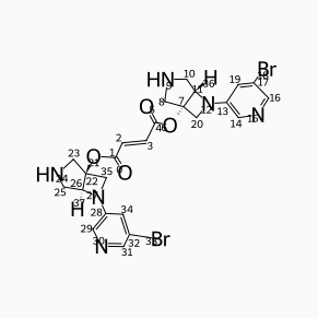 O=C(/C=C/C(=O)O[C@]12CNC[C@@H]1N(c1cncc(Br)c1)C2)O[C@]12CNC[C@@H]1N(c1cncc(Br)c1)C2